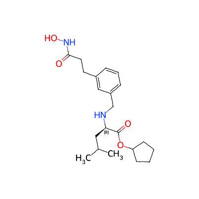 CC(C)C[C@@H](NCc1cccc(CCC(=O)NO)c1)C(=O)OC1CCCC1